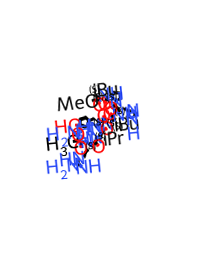 CC[C@H](C)[C@H](NC(=O)[C@H](Cc1ccc(O)cc1)NC(=O)[C@@H](NC(=O)[C@H](CCCNC(=N)N)NC(=O)C(C)ON)C(C)C)C(=O)N[C@@H](Cc1c[nH]cn1)C(=O)N1CCC[C@H]1C(=O)N[C@H](C(=O)OC)[C@@H](C)CC